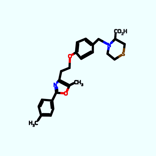 Cc1ccc(-c2nc(CCOc3ccc(CN4CCSCC4C(=O)O)cc3)c(C)o2)cc1